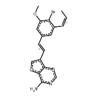 C/C=C\c1cc(/C=C/c2csc3c(N)ncnc23)cc(OC)c1Br